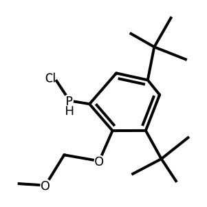 COCOc1c(PCl)cc(C(C)(C)C)cc1C(C)(C)C